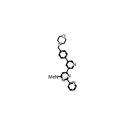 CNc1cc(-c2cncc(-c3ccc(CN4CCOCC4)cc3)c2)nc(-c2ccccn2)n1